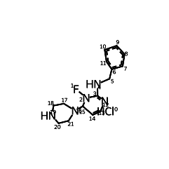 Cl.FN1C(NCc2ccccc2)=NC=CC1N1CCNCC1